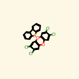 Clc1cc2c(cc1Cl)Oc1cc(Cl)c(Cl)cc1O2.c1ccc2c(c1)sc1ccccc12